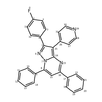 Fc1ccc(-c2nn3c(-c4ccccc4)cc(-c4ccccc4)nc3c2-c2ccncc2)cc1